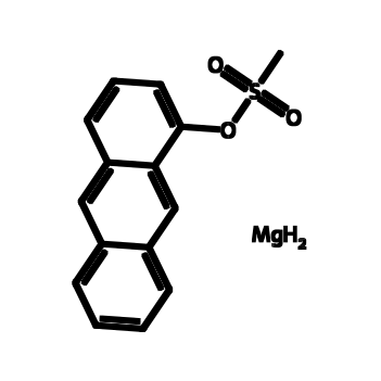 CS(=O)(=O)Oc1cccc2cc3ccccc3cc12.[MgH2]